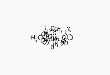 CC(C)(C)OC(=O)NC[C@H](NC(=O)OC(C)(C)C)C(=O)N1CCCN(S(=O)(=O)c2cccc3cnccc23)CC1